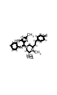 Cc1nc2c(s1)Nc1ccccc1N=C2N1CCN(C)C(CCc2ccc(F)cc2)C1.Cl.Cl